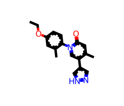 CCOc1ccc(-n2cc(-c3cn[nH]c3)c(C)cc2=O)c(C)c1